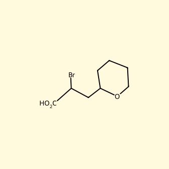 O=C(O)C(Br)CC1CCCCO1